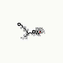 CC(=O)Nc1nc(CCc2ccc(NC(N(C(=O)O)C(C)(C)C)N(C(=O)O)C(C)(C)C)cc2)c(C(=O)NCCNC(=O)Cc2ccccc2)s1